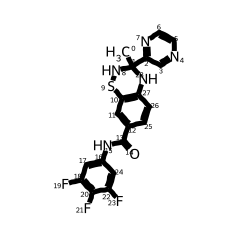 CC1(c2cnccn2)NSc2cc(C(=O)Nc3cc(F)c(F)c(F)c3)ccc2N1